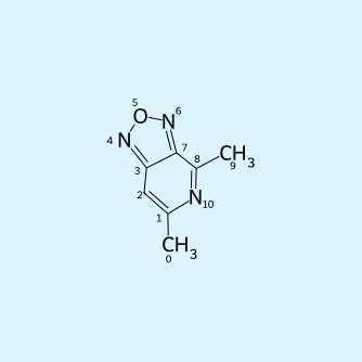 Cc1cc2nonc2c(C)n1